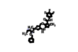 C=C(/N=C(\C=C/C)OCc1ccccc1)N1CC2COc3c(cn(C)c3C(=O)Nc3cc(F)c(F)c(F)c3)SNC2C1